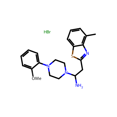 Br.COc1ccccc1N1CCN(C(N)Cc2nc3c(C)cccc3s2)CC1